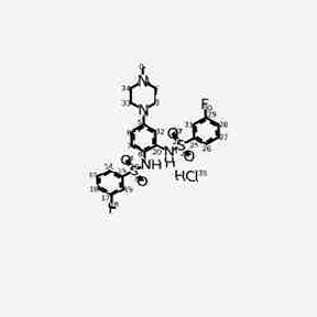 CN1CCN(c2ccc(NS(=O)(=O)c3cccc(F)c3)c(NS(=O)(=O)c3cccc(F)c3)c2)CC1.Cl